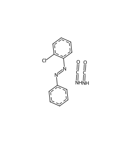 Clc1ccccc1N=Nc1ccccc1.N=C=O.N=C=O